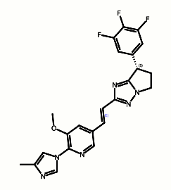 COc1cc(/C=C/c2nc3n(n2)CC[C@H]3c2cc(F)c(F)c(F)c2)cnc1-n1cnc(C)c1